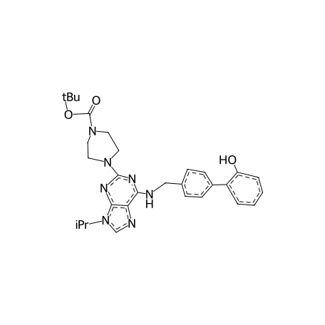 CC(C)n1cnc2c(NCc3ccc(-c4ccccc4O)cc3)nc(N3CCN(C(=O)OC(C)(C)C)CC3)nc21